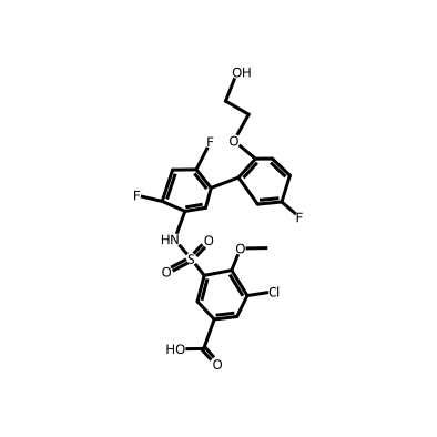 COc1c(Cl)cc(C(=O)O)cc1S(=O)(=O)Nc1cc(-c2cc(F)ccc2OCCO)c(F)cc1F